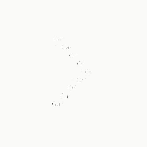 [Ca+2].[Ca+2].[Ga+3].[Ga+3].[O-2].[O-2].[O-2].[O-2].[O-2]